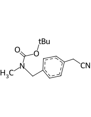 CN(Cc1ccc(CC#N)cc1)C(=O)OC(C)(C)C